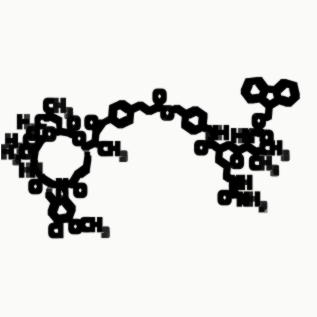 COc1ccc(C[C@H]2NC(=O)/C=C/C[C@@H]([C@H](C)[C@@H]3O[C@H]3c3ccc(CCC(=O)OCc4ccc(NC(=O)C(CCCNC(N)=O)CC(=O)[C@@H](NC(=O)OCC5c6ccccc6-c6ccccc65)C(C)C)cc4)cc3)OC(=O)[C@H](CC(C)C)OC(=O)C(C)(C)CNC2=O)cc1Cl